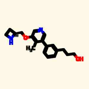 Cc1c(OC[C@@H]2CCN2)cncc1-c1cccc(CCCO)c1